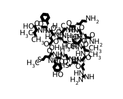 CC[C@H](C)[C@H](NC(=O)[C@H](Cc1ccccc1)NC(=O)[C@H](CCC(=O)O)NC(=O)[C@H](CC(C)C)NC(=O)[C@H](C)NC(=O)[C@H](CCCCN)NC(=O)[C@H](CCC(N)=O)NC(=O)[C@@H](NC(=O)[C@@H](NC(=O)[C@H](CCCNC(=N)N)NC(=O)[C@H](CS)NC(=O)CNC(=O)[C@H](Cc1ccc(O)cc1)NC(=O)[C@@H](N)CCSC)C(C)C)[C@@H](C)CC)C(=O)O